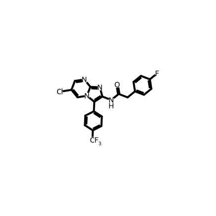 O=C(Cc1ccc(F)cc1)Nc1nc2ncc(Cl)cn2c1-c1ccc(C(F)(F)F)cc1